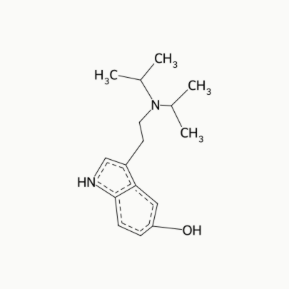 CC(C)N(CCc1c[nH]c2ccc(O)cc12)C(C)C